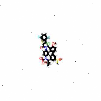 COc1ccc(-c2cccc([S+](C)[O-])c2)cc1CN(C(=O)c1sc2c(F)ccc(F)c2c1Cl)C1CCC(N(CC(C)(C)C)C(=O)O)CC1